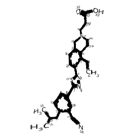 CCc1c(-c2nnc(-c3ccc(CC(C)C)c(C#N)c3)s2)ccc2c1CCN(CCC(=O)O)C2